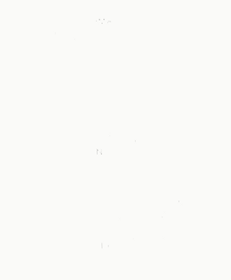 COC(=O)c1ccc(C(=O)Nc2ccc3c(c2)B(O)OC3(C)C)cc1